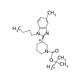 CCCCn1c([C@@H]2CCCN(C(=O)OC(C)(C)C)C2)nc2cc(C)ccc21